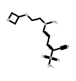 CN(/C=C/C=C(\C#N)S(C)(=O)=O)CCOC1COC1